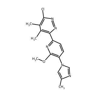 COc1nc(-c2nnc(Cl)c(C)c2C)ccc1-n1cnc(C)c1